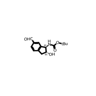 CC(C)(C)OC(=O)N[C@@H]1c2cc(C=O)ccc2C[C@H]1O